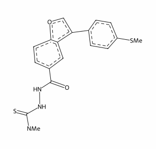 CNC(=S)NNC(=O)c1ccc2occ(-c3ccc(SC)cc3)c2c1